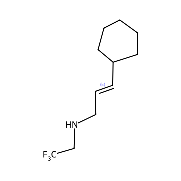 FC(F)(F)CNC/C=C/C1CCCCC1